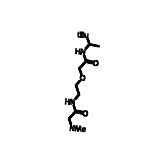 CNCC(=O)NCCOCC(=O)NC(C)C(C)(C)C